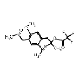 COc1cc(CC(C)(N)OC(=O)C(F)(F)F)c(OC)cc1C[S+](C)[O-]